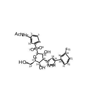 CC(=O)Nc1cccc(S(=O)(=O)C2O[C@H](CO)[C@H](O)[C@H](n3cc(-c4cccc(F)c4)nn3)[C@H]2O)c1